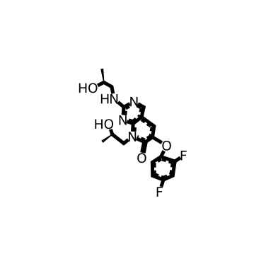 C[C@H](O)CNc1ncc2cc(Oc3ccc(F)cc3F)c(=O)n(C[C@@H](C)O)c2n1